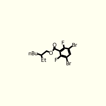 CCCCC(CC)COC(=O)c1c(F)c(Br)cc(Br)c1F